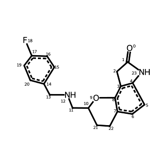 O=C1Cc2c(ccc3c2OC(CNCc2ccc(F)cc2)CC3)N1